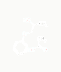 CC(=O)O.CC(O)COc1ccccc1